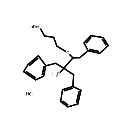 CCCCCCCCCCCCCCC(Cc1ccccc1)C(P)(Cc1ccccc1)Cc1ccccc1.Cl